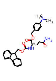 CN(C)c1ccc(COC(=O)[C@H](CCC(N)=O)NC(=O)OCC2c3ccccc3-c3ccccc32)cc1